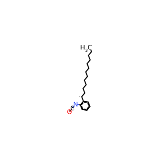 CCCCCCCCCCCC[CH]c1ccccc1N=C=O